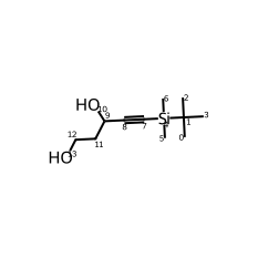 CC(C)(C)[Si](C)(C)C#CC(O)CCO